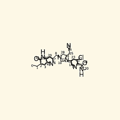 CCc1cc2ncc(CN3CCN(c4cnc(C(=O)NC)c(Cl)c4)[C@H](CC#N)C3)cc2[nH]c1=O